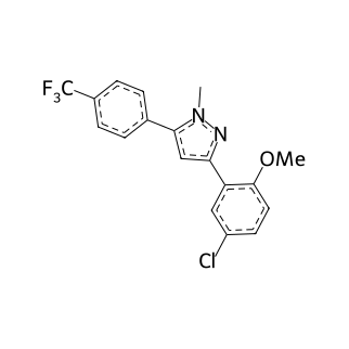 COc1ccc(Cl)cc1-c1cc(-c2ccc(C(F)(F)F)cc2)n(C)n1